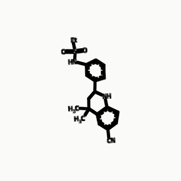 CCS(=O)(=O)Nc1cccc(C2CC(C)(C)c3cc(C#N)ccc3N2)c1